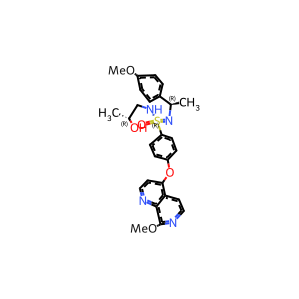 COc1ccc([C@@H](C)N=[S@](=O)(NC[C@@H](C)O)c2ccc(Oc3ccnc4c(OC)nccc34)cc2)cc1